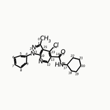 Cc1nn(-c2ccccc2)c2ncc(C(=O)NC3CCCCC3)c(Cl)c12